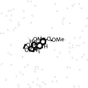 COCO[C@@H]1CC[C@@]2(C)[C@@H](CC[C@@H]3[C@@H]2[C@@H](OC)C[C@@]2(C)[C@H]3CCC23OCCO3)C1